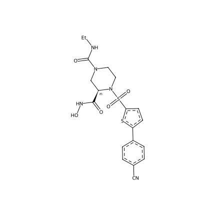 CCNC(=O)N1CCN(S(=O)(=O)c2ccc(-c3ccc(C#N)cc3)s2)[C@@H](C(=O)NO)C1